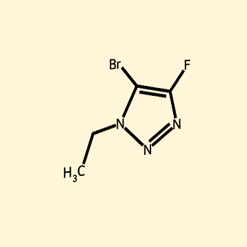 CCn1nnc(F)c1Br